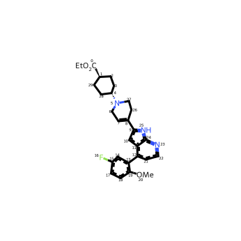 CCOC(=O)[C@H]1CC[C@H](N2CC=C(c3cc4c(-c5cc(F)ccc5OC)ccnc4[nH]3)CC2)CC1